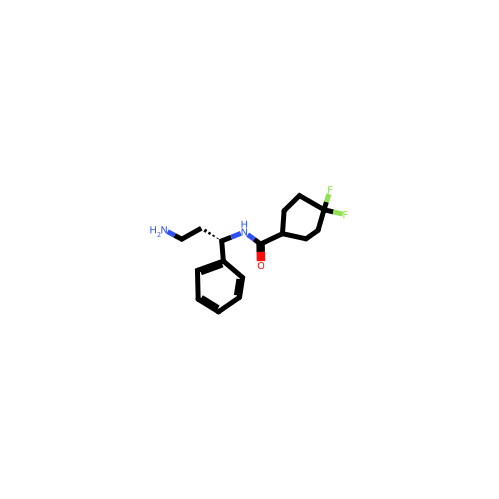 NCC[C@H](NC(=O)C1CCC(F)(F)CC1)c1ccccc1